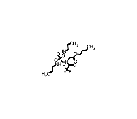 C=CCNOP(=O)(CN(CC(=O)OCCCC)C(=O)C(F)(F)F)ONCC=C